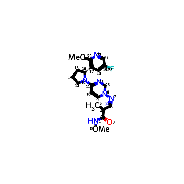 CONC(=O)C(C)/C=N\N1C=CC(N2CCC[C@@H]2c2cc(F)cnc2OC)=NC1